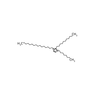 CCCCCCCCCCCCCCCC[n+]1ccn(CCCCCCCC)c1CCCCCCCCCCC